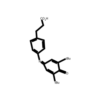 CC(C)(C)C1=CC(=Nc2ccc(CCC(=O)O)cc2)C=C(C(C)(C)C)C1=O